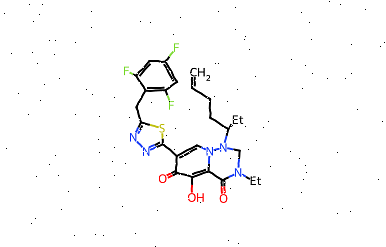 C=CCC[C@@H](CC)N1CN(CC)C(=O)c2c(O)c(=O)c(-c3nnc(Cc4c(F)cc(F)cc4F)s3)cn21